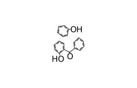 O=C(c1ccccc1)c1ccccc1O.Oc1ccccc1